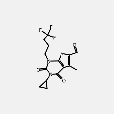 Cc1c(C=O)sc2c1c(=O)n(C1CC1)c(=O)n2CCCC(F)(F)F